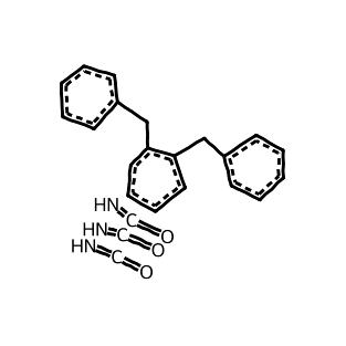 N=C=O.N=C=O.N=C=O.c1ccc(Cc2ccccc2Cc2ccccc2)cc1